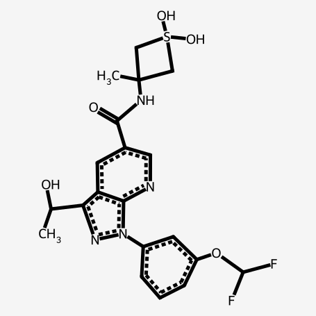 CC(O)c1nn(-c2cccc(OC(F)F)c2)c2ncc(C(=O)NC3(C)CS(O)(O)C3)cc12